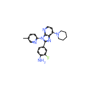 Cc1ccc(-n2c(-c3ccc(N)c(F)c3)nc3c(N4CCCCC4)ccnc32)nc1